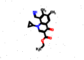 CCOC(=O)c1cn(C2CC2)c2c(C=N)c(C)c(C)cc2c1=O